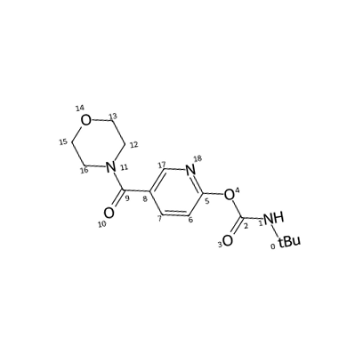 CC(C)(C)NC(=O)Oc1ccc(C(=O)N2CCOCC2)cn1